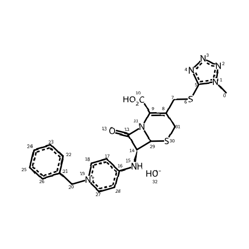 Cn1nnnc1SCC1=C(C(=O)O)N2C(=O)[C@H](Nc3cc[n+](Cc4ccccc4)cc3)C2SC1.[OH-]